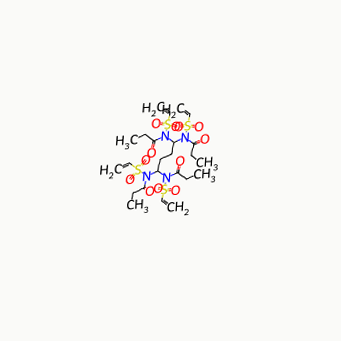 C=CS(=O)(=O)N(C(=O)CC)C(CCC(N(C(=O)CC)S(=O)(=O)C=C)N(C(=O)CC)S(=O)(=O)C=C)N(C(=O)CC)S(=O)(=O)C=C